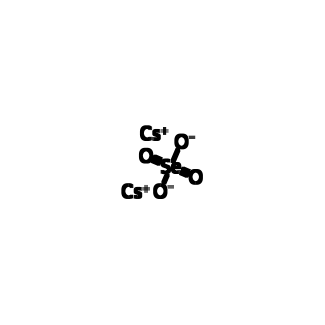 O=[Se](=O)([O-])[O-].[Cs+].[Cs+]